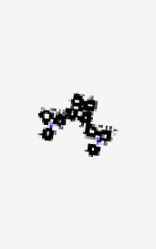 COC12CCCCC1(C)N(c1ccccc1)c1ccc(-c3ccc4c(c3)-c3cc(-c5ccc6c(c5)C5(OC)CCCCC5(C)N6c5ccccc5)ccc3C4(c3ccccc3)c3ccccc3)cc12